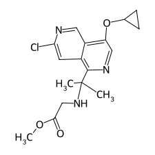 COC(=O)CNC(C)(C)c1ncc(OC2CC2)c2cnc(Cl)cc12